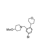 COC1CCN(Cc2cc(Br)ccc2C2CCOCC2)CC1